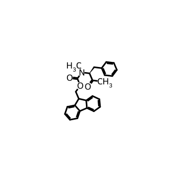 CC(=O)[C@H](Cc1ccccc1)N(C)C(=O)OCC1c2ccccc2-c2ccccc21